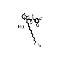 CCCCCCCCCCCCCC1=C(C(=O)Nc2cc(Cl)cc(Cl)c2)SC2=NCCCN21.Cl